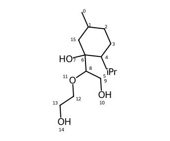 CC1CCC(C(C)C)C(O)(C(CO)OCCO)C1